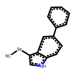 N#C[Se]c1c[nH]c2ccc(-c3ccccc3)cc12